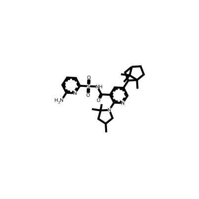 CC1CN(c2ncc(C3CC4CCC3(C)C4(C)C)cc2C(=O)NS(=O)(=O)c2cccc(N)n2)C(C)(C)C1